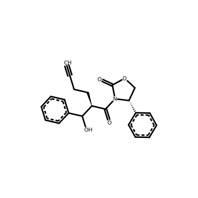 C#CCC[C@@H](C(=O)N1C(=O)OC[C@@H]1c1ccccc1)C(O)c1ccccc1